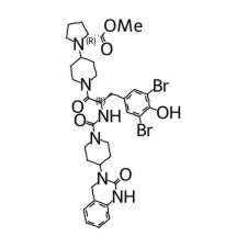 COC(=O)[C@H]1CCCN1C1CCN(C(=O)[C@@H](Cc2cc(Br)c(O)c(Br)c2)NC(=O)N2CCC(N3Cc4ccccc4NC3=O)CC2)CC1